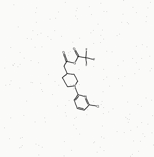 O=C(CC1CCN(c2cccc(Cl)n2)CC1)OC(=O)C(F)(F)F